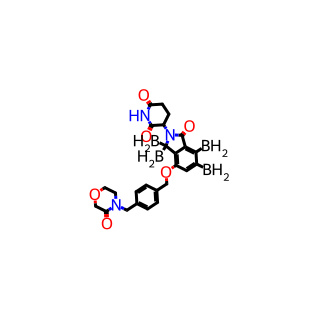 Bc1cc(OCc2ccc(CN3CCOCC3=O)cc2)c2c(c1B)C(=O)N(C1CCC(=O)NC1=O)C2(B)B